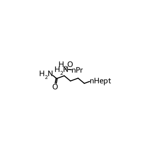 CCCCCCCCCCCC(N)=O.CCCN.O